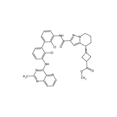 COC(=O)C1CN([C@@H]2CCCn3nc(C(=O)Nc4cccc(-c5cccc(Nc6nc(C)nc7cccnc67)c5Cl)c4Cl)cc32)C1